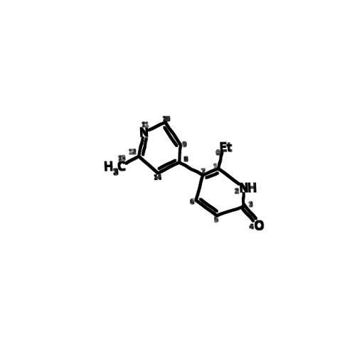 CCc1[nH]c(=O)ccc1-c1ccnc(C)c1